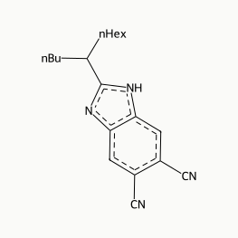 CCCCCCC(CCCC)c1nc2cc(C#N)c(C#N)cc2[nH]1